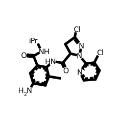 Cc1cc(N)cc(C(=O)NC(C)C)c1NC(=O)C1CC(Cl)=NN1c1ncccc1Cl